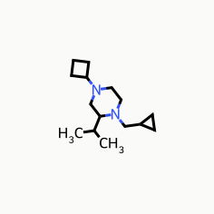 CC(C)C1CN(C2CCC2)CCN1CC1CC1